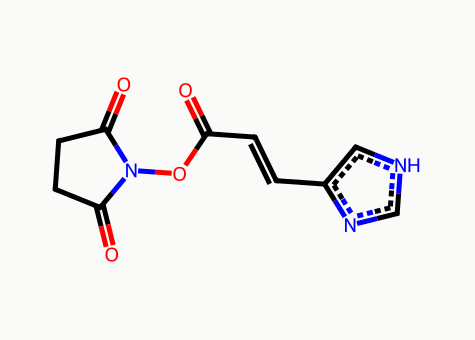 O=C(C=Cc1c[nH]cn1)ON1C(=O)CCC1=O